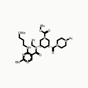 COCCCNc1nc(C(C)(C)C)ncc1C(=O)N(CC(C)C)[C@H]1C[C@@H](C(=O)N2CCN(C(C)=O)CC2)CN(C(=O)OC(C)(C)C)C1